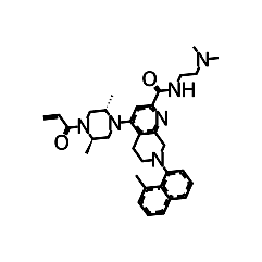 C=CC(=O)N1C[C@H](C)N(c2cc(C(=O)NCCN(C)C)nc3c2CCN(c2cccc4cccc(C)c24)C3)C[C@H]1C